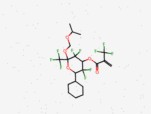 C=C(C(=O)OC1C(F)(F)C(C2CCCCC2)OC(OCOC(C)C)(C(F)(F)F)C1(F)F)C(F)(F)F